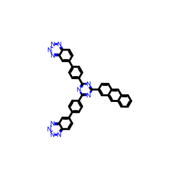 c1ccc2cc3cc(-c4nc(-c5ccc(-c6ccc7nnnnc7c6)cc5)nc(-c5ccc(-c6ccc7nnnnc7c6)cc5)n4)ccc3cc2c1